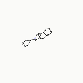 C(=C\c1cc2ccccc2[nH]1)/c1cnsc1